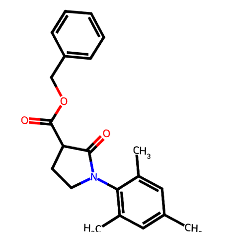 Cc1cc(C)c(N2CCC(C(=O)OCc3ccccc3)C2=O)c(C)c1